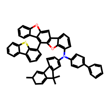 CC1C=C2C(=CC1)C(C)(C)c1cc(N(c3ccc(-c4ccccc4)cc3)c3cccc4c3oc3c(-c5cccc6c5sc5ccccc56)c5c(cc34)oc3ccccc35)ccc12